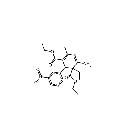 CCOC(=O)C1=C(C)N=C(N)C(CC)(C(=O)OCC)C1c1cccc([N+](=O)[O-])c1